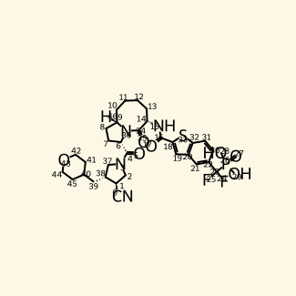 N#C[C@@H]1CN(C(=O)[C@@H]2CC[C@@H]3CCCC[C@H](NC(=O)c4cc5cc(C(F)(F)P(=O)(O)O)ccc5s4)C(=O)N32)C[C@H]1CC1CCOCC1